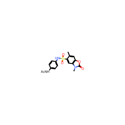 CC(=O)Nc1ccc(NS(=O)(=O)c2cc3c(cc2C)oc(=O)n3C)cc1